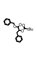 CC(C)(C)C(=O)OC(Cc1ccccc1)C(=O)OCc1ccccc1